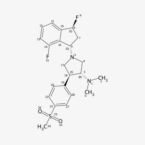 CN(C)[C@H]1CN([C@H]2C[C@H](F)c3cccc(F)c32)C[C@@H]1c1ccc(S(C)(=O)=O)cc1